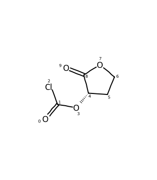 O=C(Cl)O[C@H]1CCOC1=O